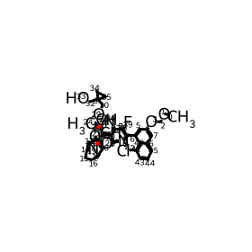 COCOc1cc(-c2ncc3c(N4CC5CCC(C4)N5C(=O)OC(C)(C)C)nc(OCC4(CO)CC4)nc3c2F)c2c(Cl)cccc2c1